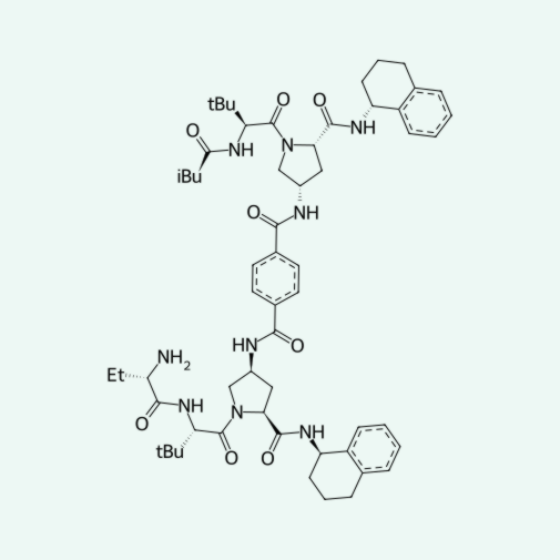 CC[C@H](C)C(=O)N[C@H](C(=O)N1C[C@@H](NC(=O)c2ccc(C(=O)N[C@H]3C[C@@H](C(=O)N[C@@H]4CCCc5ccccc54)N(C(=O)[C@@H](NC(=O)[C@@H](N)CC)C(C)(C)C)C3)cc2)C[C@H]1C(=O)N[C@@H]1CCCc2ccccc21)C(C)(C)C